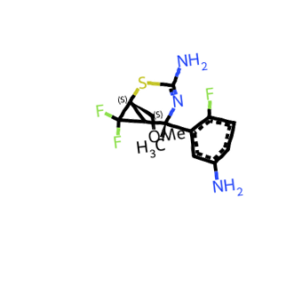 COC[C@@]12SC(N)=N[C@](C)(c3cc(N)ccc3F)C1C2(F)F